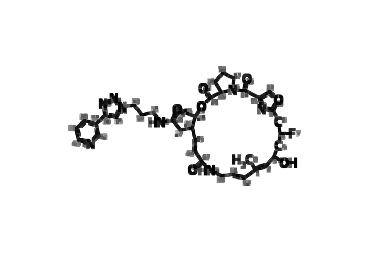 CC1=C\C(O)CC(F)Cc2nc(co2)C(=O)N2CCCC2C(=O)OC(C(C)C)C(CC(=O)NCCCn2cc(-c3cccnc3)nn2)/C=C/C(=O)NC\C=C\1